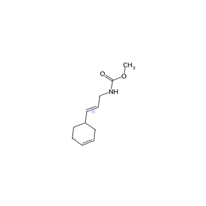 COC(=O)NC/C=C/C1CC=CCC1